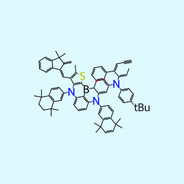 C#C/C=C(\C(=C/C)N(C1=CCC2B3c4sc(C)c(/C=C5\C(=C)C(C)(C)c6ccccc65)c4N(c4ccc5c(c4)C(C)(C)CCC5(C)C)c4cccc(c43)N(c3ccc4c(c3)C(C)(C)C=CC4(C)C)C2=C1)c1ccc(C(C)(C)C)cc1)c1ccccc1